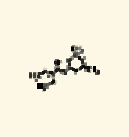 CCN(CC)C(=O)OC1CC(C)CC(C)C1